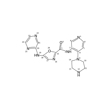 O=C(Nc1cnccc1N1CCNCC1)c1ncc(Nc2cnccn2)o1